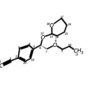 C#Cc1ccc([C@@H](COCCC)OC2CCCCO2)cc1